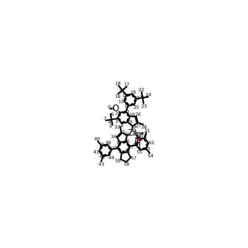 COc1c(C(C)(C)C)cc2c(c1-c1cc(C(C)(C)C)cc(C(C)(C)C)c1)C=C(C)[CH]2[Zr]([CH]1C(C)=Cc2c(-c3cc(C)cc(C)c3)c3c(c(-c4cc(C)cc(C)c4)c21)CCC3)[SiH](C)C